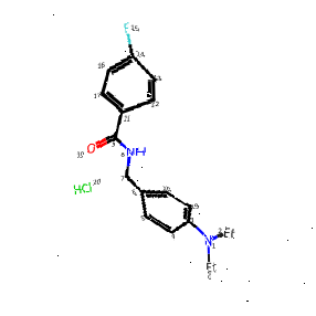 CCN(CC)c1ccc(CNC(=O)c2ccc(F)cc2)cc1.Cl